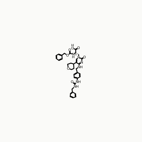 O=C(NCc1ccccc1)Nc1ccc(CNc2nc(=O)n(C[C@H](NC(=O)OCc3ccccc3)C(=O)O)cc2C2CCOCC2)cc1